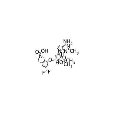 Cc1nc(N)c2ccn([C@@H]3C=C(COc4cc(C(F)F)cc5c4CN(C(=O)O)CC5)[C@H]4OC(C)(C)O[C@H]43)c2n1